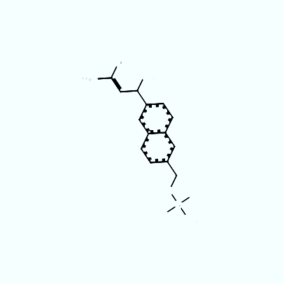 COC(O)=CC(C)c1ccc2cc(CO[Si](C)(C)C(C)(C)C)ccc2c1